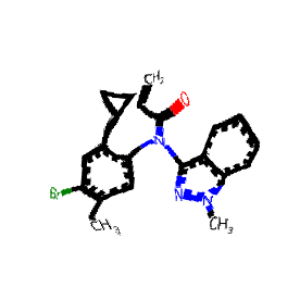 C=CC(=O)N(c1cc(C)c(Br)cc1C1CC1)c1nn(C)c2ccccc12